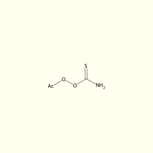 CC(=O)OOC(N)=S